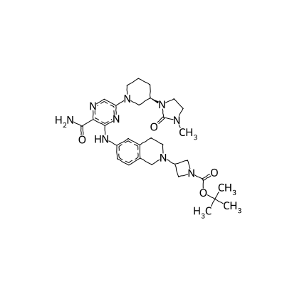 CN1CCN([C@@H]2CCCN(c3cnc(C(N)=O)c(Nc4ccc5c(c4)CCN(C4CN(C(=O)OC(C)(C)C)C4)C5)n3)C2)C1=O